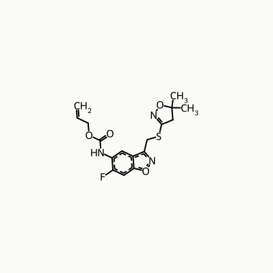 C=CCOC(=O)Nc1cc2c(CSC3=NOC(C)(C)C3)noc2cc1F